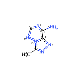 Cc1nnc2c(N)ncnn12